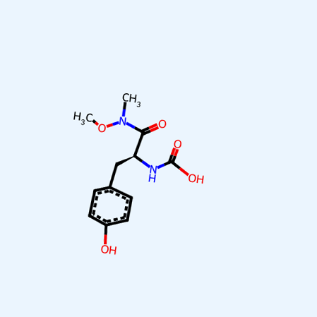 CON(C)C(=O)[C@H](Cc1ccc(O)cc1)NC(=O)O